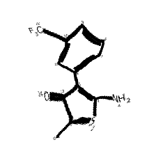 CC1SC(N)=C(c2cccc(C(F)(F)F)c2)C1=O